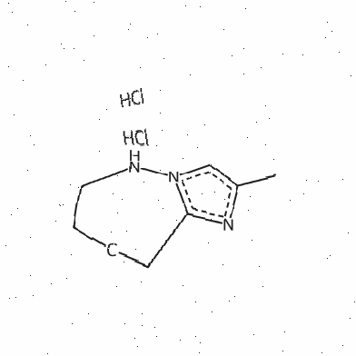 Cc1cn2c(n1)CCCCN2.Cl.Cl